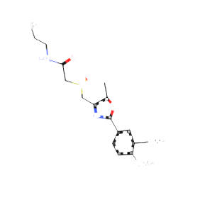 COc1ccc(-c2nc(C[S+]([O-])CC(=O)NCCC(C)C)c(C)o2)cc1OC